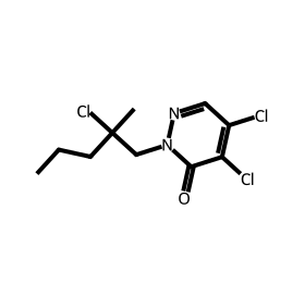 CCCC(C)(Cl)Cn1ncc(Cl)c(Cl)c1=O